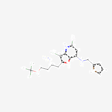 N[C@@H](CCOC(F)(F)F)Cc1oc2c(NCc3cccs3)cc(Cl)nc2c1Br